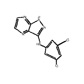 Clc1cc(Cl)cc(Nc2n[nH]c3nccnc23)c1